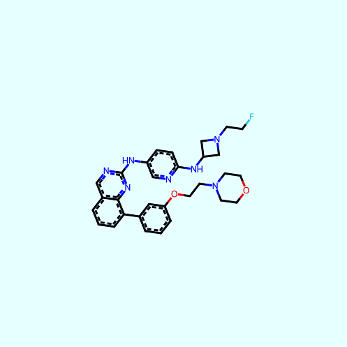 FCCN1CC(Nc2ccc(Nc3ncc4cccc(-c5cccc(OCCN6CCOCC6)c5)c4n3)cn2)C1